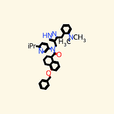 CC(C)c1ccc(N(Cc2c[nH]nc2Cc2ccccc2N(C)C)C(=O)C2CCCc3c(OCc4ccccc4)cccc32)cn1